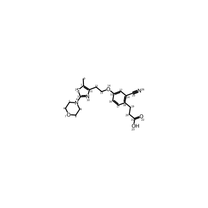 Cc1sc(N2CCOCC2)nc1CCOc1ccc(CCC(=O)O)c(C#N)c1